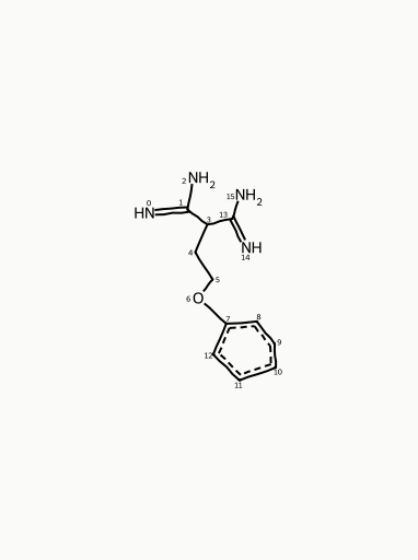 N=C(N)C(CCOc1ccccc1)C(=N)N